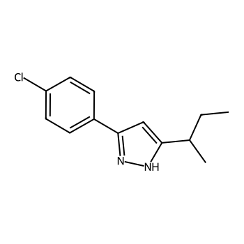 CCC(C)c1cc(-c2ccc(Cl)cc2)n[nH]1